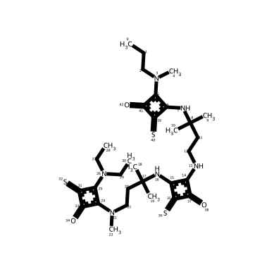 CCCN(C)c1c(NC(C)(C)CCNc2c(NC(C)(C)CCN(C)c3c(N(CC)CC)c(=S)c3=O)c(=S)c2=O)c(=S)c1=O